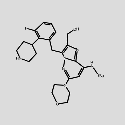 CC(C)(C)Nc1cc(N2CCOCC2)nn2c(Cc3cccc(F)c3C3CCNCC3)c(CO)nc12